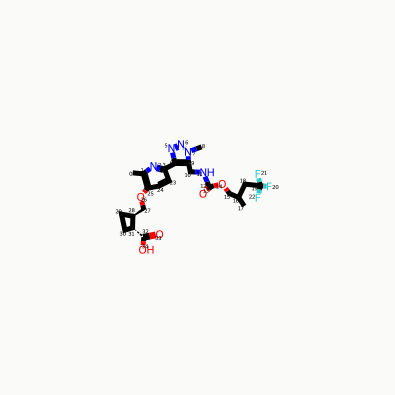 Cc1nc(-c2nnn(C)c2CNC(=O)OCC(C)CC(F)(F)F)ccc1OC[C@@H]1CC[C@H]1C(=O)O